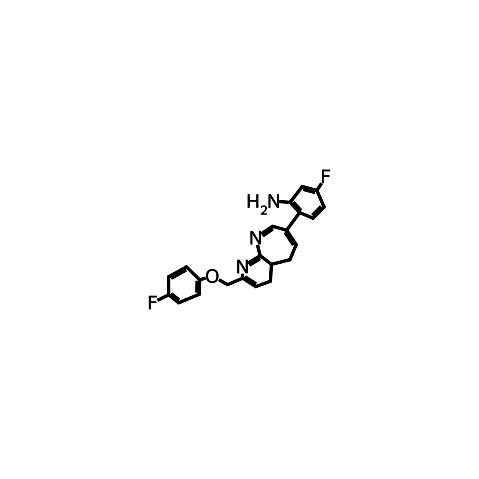 Nc1cc(F)ccc1C1=CCC2CC=C(COc3ccc(F)cc3)N=C2N=C1